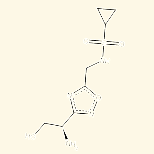 N[C@@H](CO)c1noc(CNS(=O)(=O)C2CC2)n1